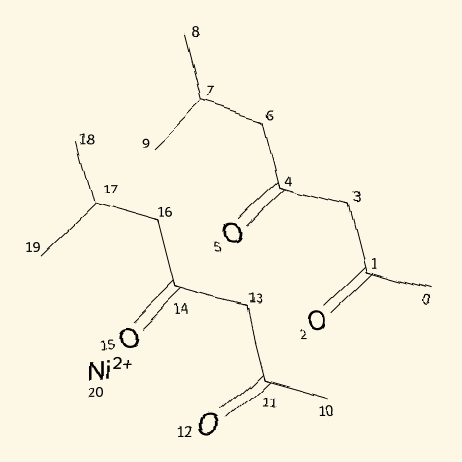 CC(=O)CC(=O)CC(C)C.CC(=O)CC(=O)CC(C)C.[Ni+2]